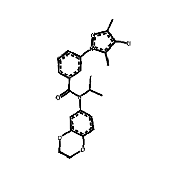 Cc1nn(-c2cccc(C(=O)N(c3ccc4c(c3)OCCO4)C(C)C)c2)c(C)c1Cl